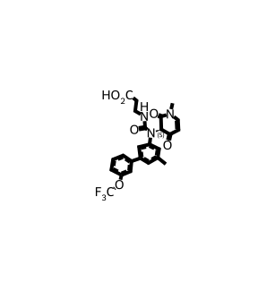 Cc1cc(-c2cccc(OC(F)(F)F)c2)cc(N(C(=O)NCCC(=O)O)[C@H]2C(=O)C=CN(C)C2=O)c1